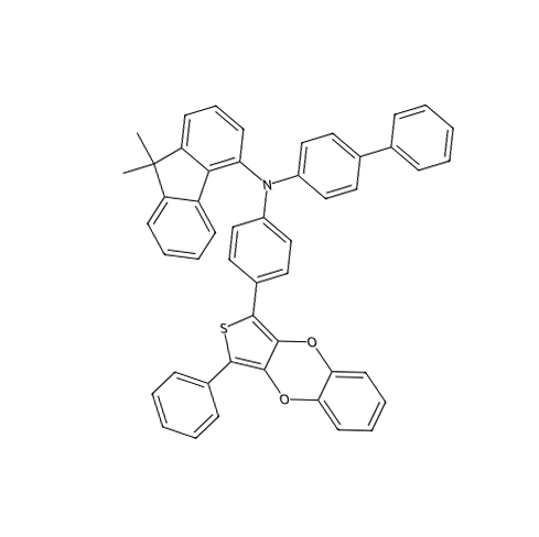 CC1(C)c2ccccc2-c2c(N(c3ccc(-c4ccccc4)cc3)c3ccc(-c4sc(-c5ccccc5)c5c4Oc4ccccc4O5)cc3)cccc21